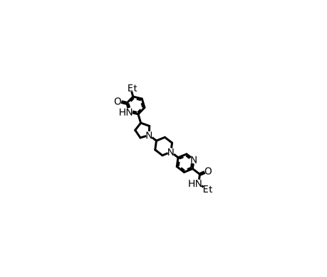 CCNC(=O)c1ccc(N2CCC(N3CCC(c4ccc(CC)c(=O)[nH]4)C3)CC2)cn1